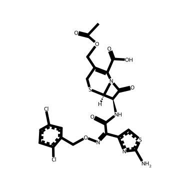 CC(=O)OCC1=C(C(=O)O)N2C(=O)[C@@H](NC(=O)/C(=N\OCc3cc(Cl)ccc3Cl)c3csc(N)n3)[C@H]2SC1